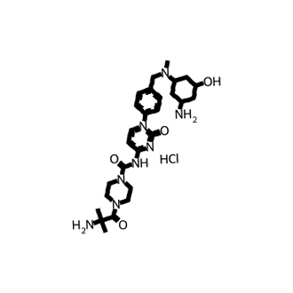 CN(Cc1ccc(-n2ccc(NC(=O)N3CCN(C(=O)C(C)(C)N)CC3)nc2=O)cc1)C1CC(N)CC(O)C1.Cl